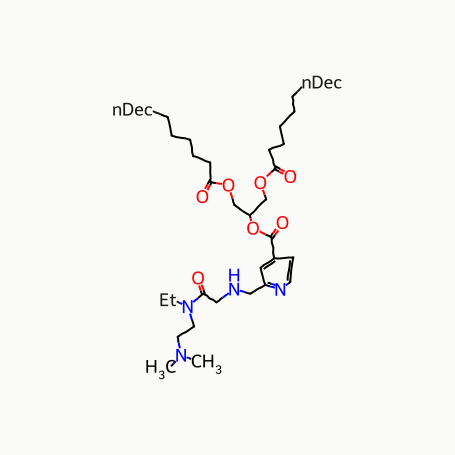 CCCCCCCCCCCCCCCC(=O)OCC(COC(=O)CCCCCCCCCCCCCCC)OC(=O)c1ccnc(CNCC(=O)N(CC)CCN(C)C)c1